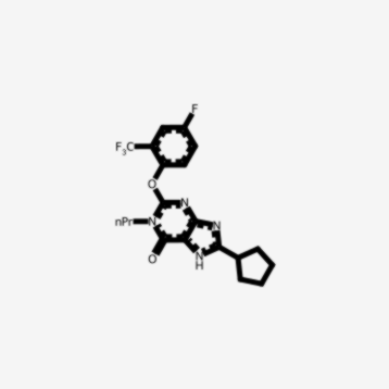 CCCn1c(Oc2ccc(F)cc2C(F)(F)F)nc2nc(C3CCCC3)[nH]c2c1=O